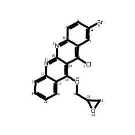 Clc1c2cc(Br)ccc2nc2nc3ccccc3c(OCC3CO3)c12